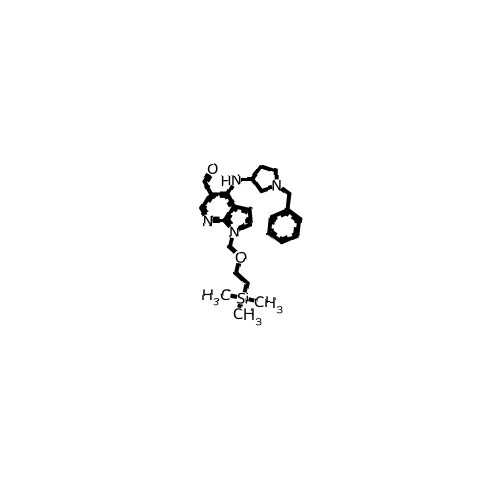 C[Si](C)(C)CCOCn1ccc2c(NC3CCN(Cc4ccccc4)C3)c(C=O)cnc21